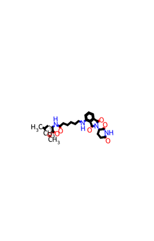 COC(=O)[C@H](CC(C)C)NC(=O)CCCCCNc1cccc2c1C(=O)N(C1CCC(=O)NC1=O)C2=O